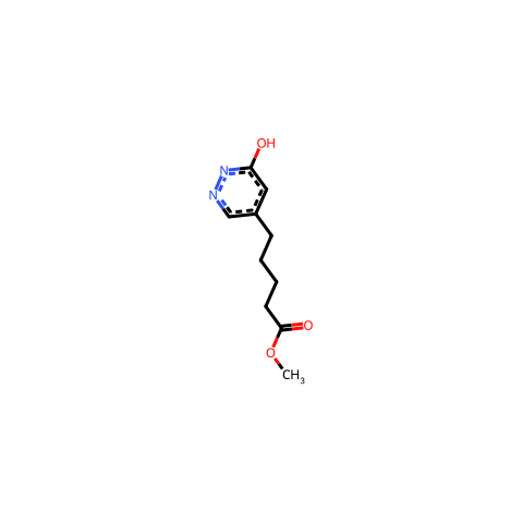 COC(=O)CCCCc1cnnc(O)c1